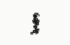 Cc1ncc(OC(=O)N[C@@]2(C(=O)NCc3ncc(Nc4ccc(Cl)cc4C(F)(F)F)cc3F)CCOC2)cn1